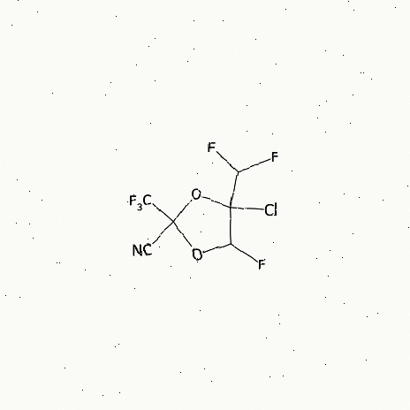 N#CC1(C(F)(F)F)OC(F)C(Cl)(C(F)F)O1